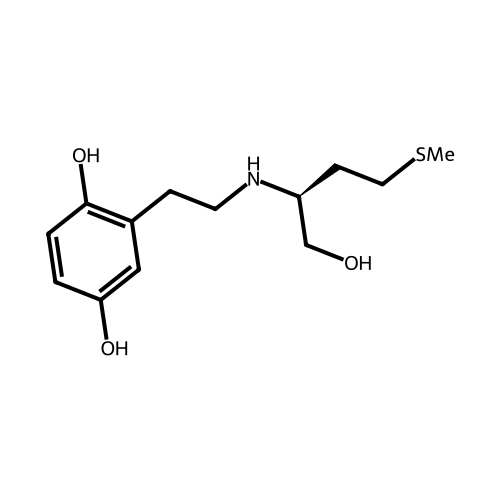 CSCC[C@@H](CO)NCCc1cc(O)ccc1O